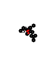 c1ccc(-c2ccc(-c3nc(-c4ccccc4)nc(-c4cccc5c4sc4ccccc45)n3)c(-n3c4ccccc4c4c(-c5cccc6c5c5ccccc5n6-c5ccccc5)cccc43)c2)cc1